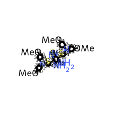 COc1ccc(N(c2ccc(OC)cc2)c2ccc(-c3c(N)c(N)c(-c4ccc(N(c5ccc(OC)cc5)c5ccc(OC)cc5)s4)c4nsnc34)s2)cc1